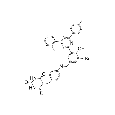 Cc1ccc(-c2nc(-c3ccc(C)cc3C)nc(-c3cc(CNc4ccc(C=C5C(=O)NC(=O)NC5=O)cc4)cc(C(C)(C)C)c3O)n2)c(C)c1